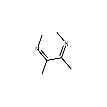 C/N=C(C)\C(C)=N/C